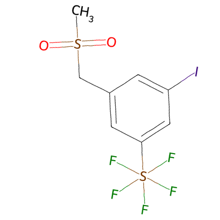 CS(=O)(=O)Cc1cc(I)cc(S(F)(F)(F)(F)F)c1